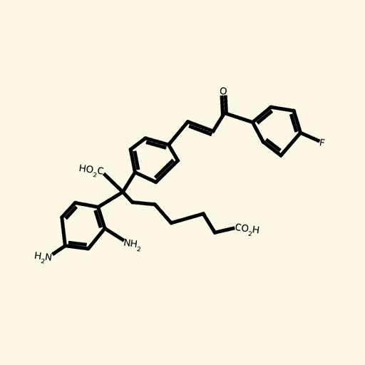 Nc1ccc(C(CCCCCC(=O)O)(C(=O)O)c2ccc(C=CC(=O)c3ccc(F)cc3)cc2)c(N)c1